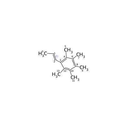 C/C=[C]/c1c(C)c(C)c(C)c(C)c1C